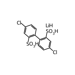 O=S(=O)(O)c1cc(Cl)ccc1-c1ccc(Cl)cc1S(=O)(=O)O.[LiH]